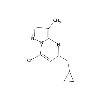 Cc1cnn2c(Cl)cc(CC3CC3)nc12